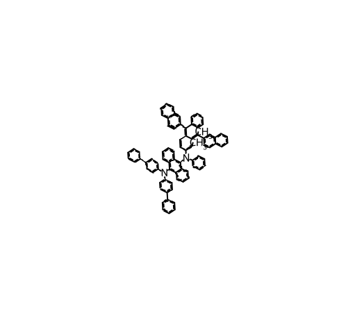 C\C=C(/C=C\C(\C=C(/C)c1ccc2ccccc2c1)=C(\c1ccccc1)c1ccc2ccccc2c1)N(c1ccccc1)c1c2ccccc2c(N(c2ccc(-c3ccccc3)cc2)c2ccc(-c3ccccc3)cc2)c2ccccc12